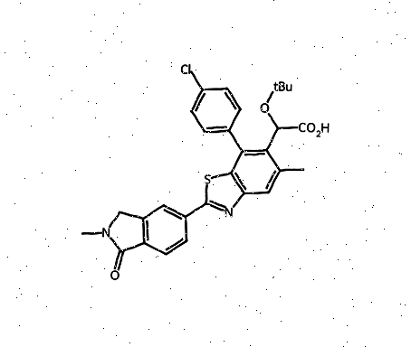 Cc1cc2nc(-c3ccc4c(c3)CN(C)C4=O)sc2c(-c2ccc(Cl)cc2)c1C(OC(C)(C)C)C(=O)O